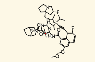 COCOc1cc(C(=O)Nc2nc(OC[C@@]34CCCN3C[C@H](F)C4)nc(N3CC4CCC(C3)N4C(=O)OC(C)(C)C)n2)c2c(C#C[Si](C(C)C)(C(C)C)C(C)C)c(F)ccc2c1